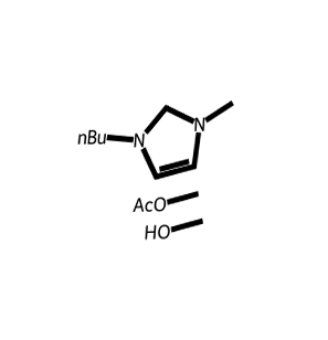 CCCCN1C=CN(C)C1.CO.COC(C)=O